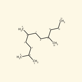 [CH2]C(CCC(C)C)CCC(C)CCC